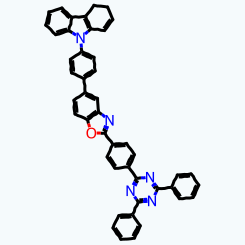 C1=Cc2c(c3ccccc3n2-c2ccc(-c3ccc4oc(-c5ccc(-c6nc(-c7ccccc7)nc(-c7ccccc7)n6)cc5)nc4c3)cc2)CC1